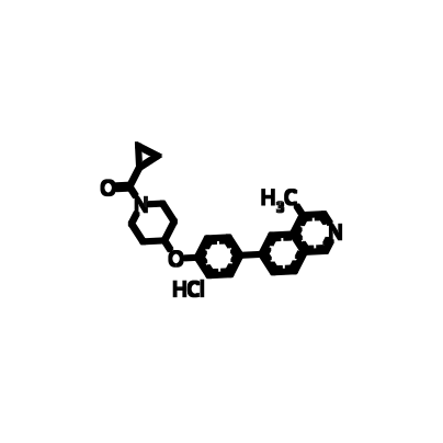 Cc1cncc2ccc(-c3ccc(OC4CCN(C(=O)C5CC5)CC4)cc3)cc12.Cl